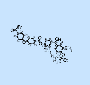 CCC(C)(C)Oc1ccc(C(C)c2ccc(OC(=O)c3ccc(Oc4ccc(C(=O)C(C)C)cc4)cc3)c(C)c2)cc1C